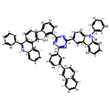 c1ccc(-c2nc3ccccc3c3c2ccc2c4cccc(-c5nc(-c6cccc(-c7ccc8ccccc8c7)c6)nc(-c6ccc7c(c6)c6ccccc6n7-c6ccccc6)n5)c4sc23)cc1